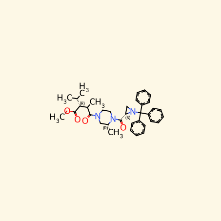 COC(=O)[C@H](C(C)C)C(C)C(=O)N1CCN(C(=O)[C@@H]2CN2C(c2ccccc2)(c2ccccc2)c2ccccc2)[C@H](C)C1